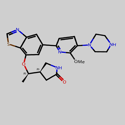 COc1nc(-c2cc(O[C@H](C)[C@H]3CNC(=O)C3)c3scnc3c2)ccc1N1CCNCC1